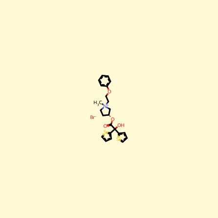 C[N+]1(CCOc2ccccc2)CC[C@@H](OC(=O)C(O)(c2cccs2)c2cccs2)C1.[Br-]